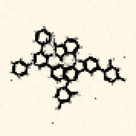 Cc1ccc(-c2ccc3c(c2)c2cc(-c4ccc(C)cc4C)ccc2n3-c2cccc3c2C(=O)N(c2c(-c4ccccc4)cc(-c4ccccc4)cc2-c2ccccc2)C3O)c(C)c1